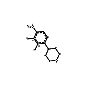 COc1ccc(C2CCOCC2)c(C)c1C